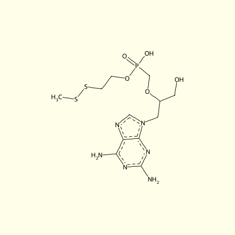 CSSCCOP(=O)(O)COC(CO)Cn1cnc2c(N)nc(N)nc21